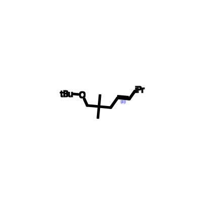 CC(C)/C=C/CC(C)(C)COC(C)(C)C